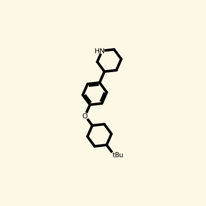 CC(C)(C)C1CCC(Oc2ccc(C3CCCNC3)cc2)CC1